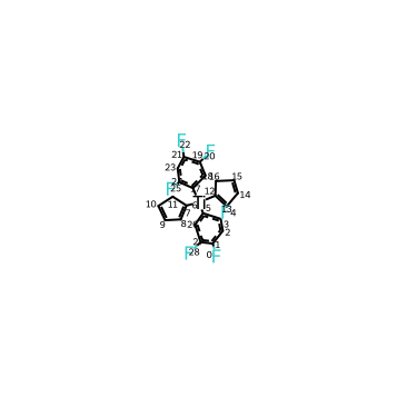 Fc1cc(F)[c]([Ti]([C]2=CC=CC2)([C]2=CC=CC2)[c]2cc(F)c(F)cc2F)cc1F